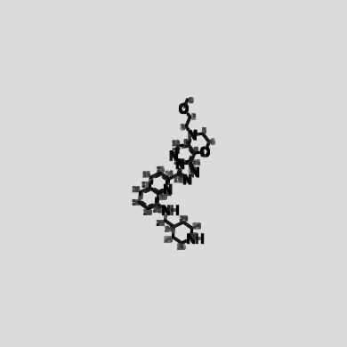 COCCN1CCOc2c1cnn1c(-c3ccc4cccc(NCC5CCNCC5)c4n3)nnc21